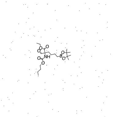 CCCCOC(=O)NC(C=O)(CCCCB1OC(C)(C)C(C)(C)O1)C(=O)OCC